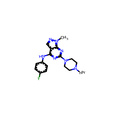 CCCN1CCN(c2nc(Nc3ccc(F)cc3)c3cnn(C)c3n2)CC1